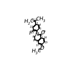 C=C(C)c1ccc(N2CCc3cc(OC)ccc3C2=O)c(F)c1